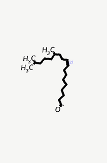 CC(C)CCCC(C)CC/C=C\CCCCCCC[C]=O